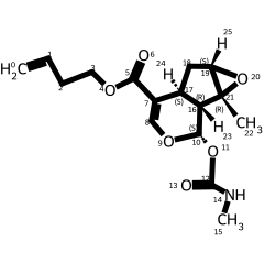 C=CCCOC(=O)C1=CO[C@@H](OC(=O)NC)[C@@H]2[C@@H]1C[C@@H]1O[C@]21C